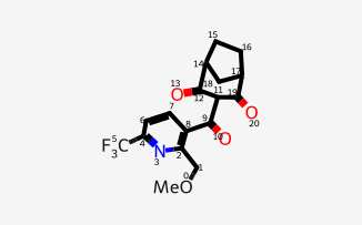 COCc1nc(C(F)(F)F)ccc1C(=O)C1C(=O)C2CCC(C2)C1=O